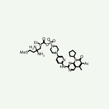 CCN(CC(N)(N)CCSC)C(=O)OS(=O)(=O)N1CCN(c2ccc(Nc3ncc4c(C)c(C(C)=O)c(=O)n(C5CCCC5)c4n3)nc2)CC1